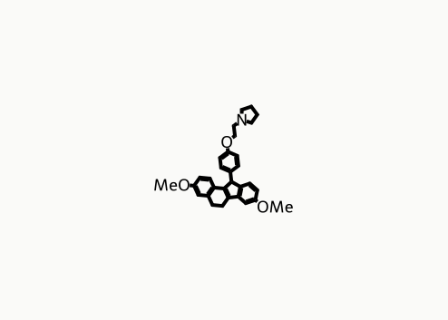 COc1ccc2c(c1)CCC1=C2C(c2ccc(OCCN3CCCC3)cc2)c2ccc(OC)cc21